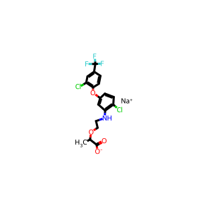 CC(OCCNc1cc(Oc2ccc(C(F)(F)F)cc2Cl)ccc1Cl)C(=O)[O-].[Na+]